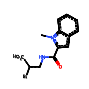 CCC(CNC(=O)c1cc2ccccc2n1C)C(=O)O